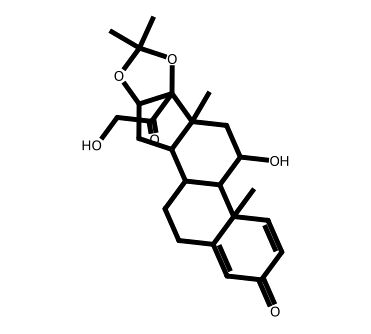 CC1(C)OC2CC3C4CCC5=CC(=O)C=CC5(C)C4C(O)CC3(C)C2(C(=O)CO)O1